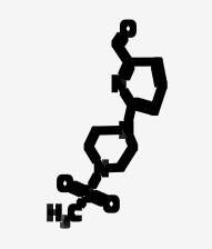 CS(=O)(=O)N1CCN(c2cccc(C=O)n2)CC1